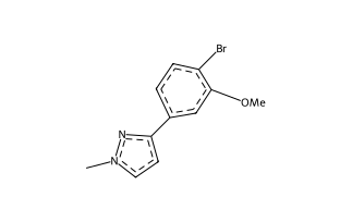 COc1cc(-c2ccn(C)n2)ccc1Br